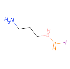 NCCCBPI